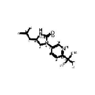 CC(C)CC1CN(c2ccc(C(F)(F)F)nc2)C(=O)N1